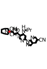 CC(C)Nc1cc(-n2ncc3cc(C#N)cnc32)ncc1-c1cc(C2CC3CCC(C2)N3C(C)O)no1